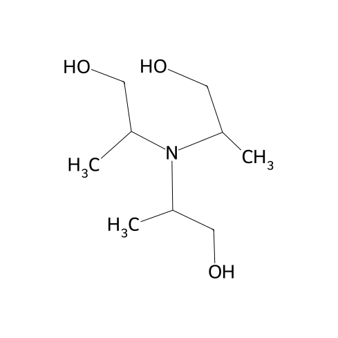 CC(CO)N(C(C)CO)C(C)CO